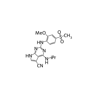 COc1cc(S(C)(=O)=O)ccc1Nc1nc(NC(C)C)c2c(C#N)c[nH]c2n1